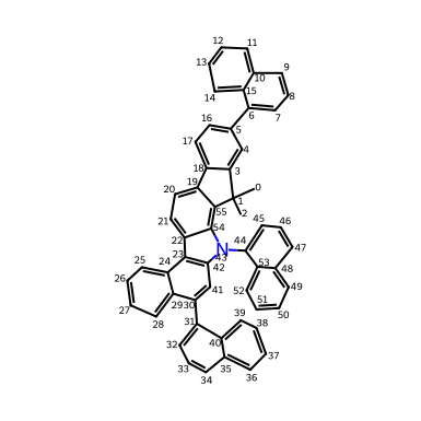 CC1(C)c2cc(-c3cccc4ccccc34)ccc2-c2ccc3c4c5ccccc5c(-c5cccc6ccccc56)cc4n(-c4cccc5ccccc45)c3c21